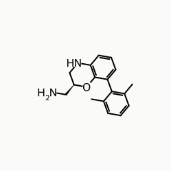 Cc1cccc(C)c1-c1cccc2c1O[C@@H](CN)CN2